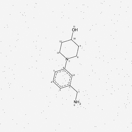 NCc1cccc(N2CCC(O)CC2)c1